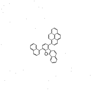 c1ccc2c(-c3ccc(-c4ccc5ccc6cccc7ccc4c5c67)c4c3oc3c5ccccc5ccc34)cccc2c1